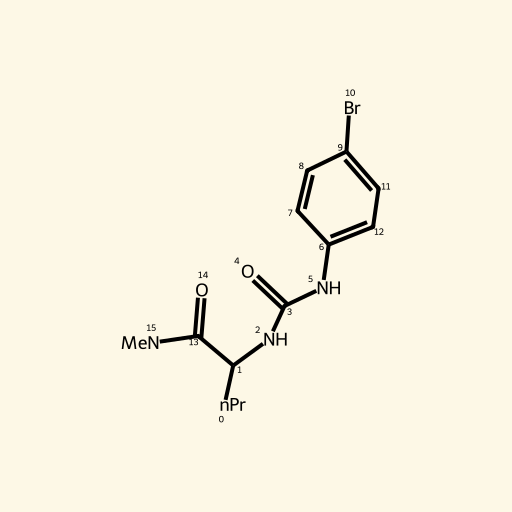 CCCC(NC(=O)Nc1ccc(Br)cc1)C(=O)NC